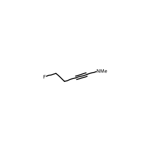 CNC#CCCF